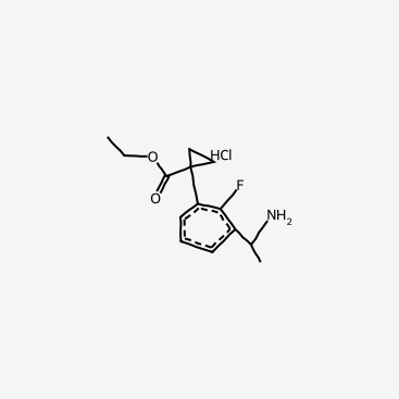 CCOC(=O)C1(c2cccc(C(C)N)c2F)CC1.Cl